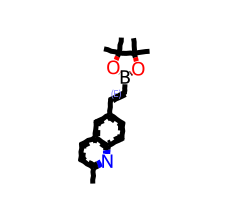 Cc1ccc2cc(/C=C/B3OC(C)(C)C(C)(C)O3)ccc2n1